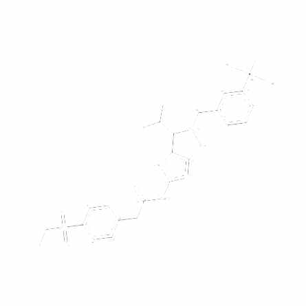 CCS(=O)(=O)c1ccc(CC(=O)Nc2nc3c(s2)CN(Cc2cccc(C(F)(F)F)c2)C3C(C)C)cc1